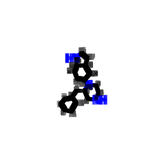 c1ccc(C[C@@H]2CNCCN2c2ccc3[nH]ccc3c2)cc1